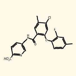 Cc1ccc(Oc2cc(Cl)c(C)cc2C(=O)Nc2ccc(C(=O)O)nc2)c(F)c1